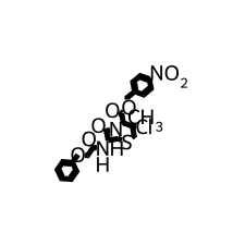 CC1(Cl)CS[C@@H]2C(NC(=O)COc3ccccc3)C(=O)N2C1C(=O)OCc1ccc([N+](=O)[O-])cc1